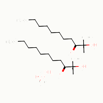 CCCCCCCCCCCCCCCCCC(=O)C(C)(O)C(=O)[O-].CCCCCCCCCCCCCCCCCC(=O)C(C)(O)C(=O)[O-].O.O.[Ca+2]